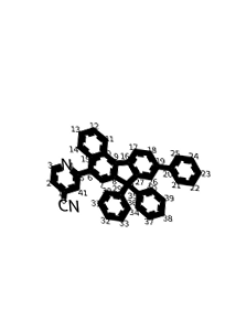 N#Cc1ccnc(-c2cc3c(c4ccccc24)-c2ccc(-c4ccccc4)cc2C3(c2ccccc2)c2ccccc2)c1